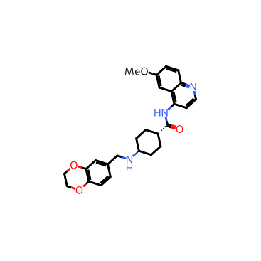 COc1ccc2nccc(NC(=O)[C@H]3CC[C@H](NCc4ccc5c(c4)OCCO5)CC3)c2c1